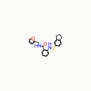 O=C(NCc1ccco1)c1ccccc1NSc1ccc2c(c1)CCC2